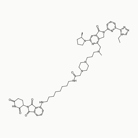 CCn1cnnc1-c1cccc(N2Cc3c(cc(N4CCC[C@H]4C)nc3CN(C)CCCN3CCN(CC(=O)NCCCCCCCCNc4cccc5c4C(=O)N(C4CCC(=O)NC4=O)C5=O)CC3)C2=O)n1